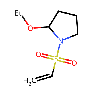 C=CS(=O)(=O)N1CCCC1OCC